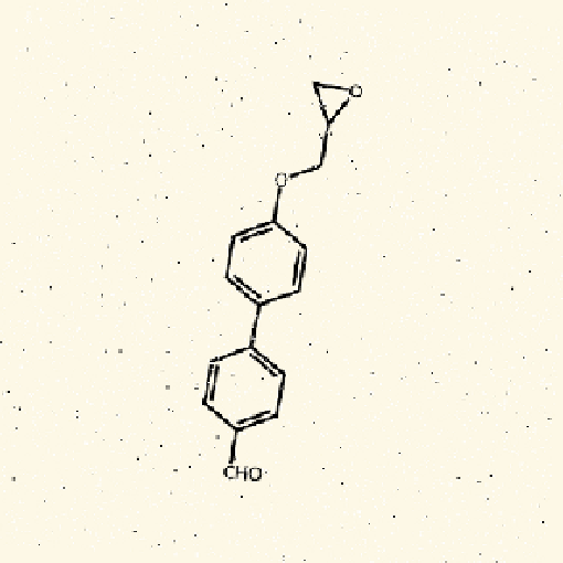 O=Cc1ccc(-c2ccc(OCC3CO3)cc2)cc1